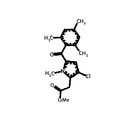 COC(=O)Cc1c(Cl)cc(C(=O)c2c(C)cc(C)cc2C)n1C